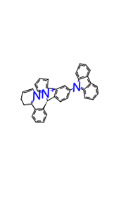 C1=CN=C(c2ccccc2[C@@H]2c3ccc(-n4c5ccccc5c5ccccc54)cc3-c3cccc[n+]32)CC1